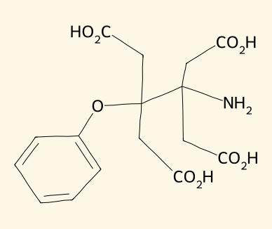 NC(CC(=O)O)(CC(=O)O)C(CC(=O)O)(CC(=O)O)Oc1ccccc1